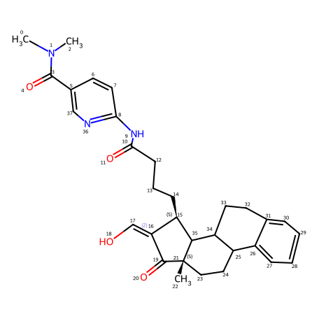 CN(C)C(=O)c1ccc(NC(=O)CCC[C@@H]2/C(=C/O)C(=O)[C@@]3(C)CCC4c5ccccc5CCC4C23)nc1